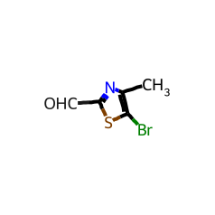 Cc1nc(C=O)sc1Br